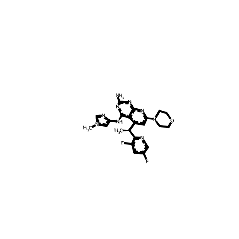 C[C@H](c1ncc(F)cc1F)c1cc(N2CCOCC2)nc2nc(N)nc(Nc3cn(C)cn3)c12